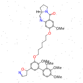 COc1cc2c(cc1OCCCCCCOc1cc(C3CC=NO3)cc(-c3ccc(OC)c(OC)c3OC)c1OC)N=C[C@@H]1CCCN1C2=O